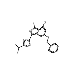 Cc1nc(-c2nnc(C(F)F)s2)n2cc(SCc3ccccc3)cc(Cl)c12